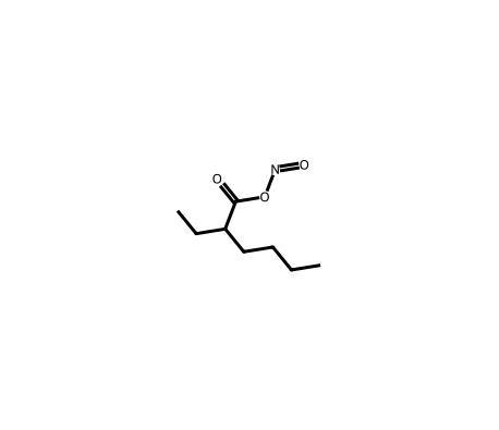 CCCCC(CC)C(=O)ON=O